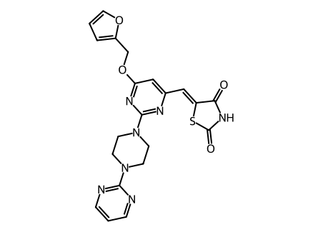 O=C1NC(=O)C(=Cc2cc(OCc3ccco3)nc(N3CCN(c4ncccn4)CC3)n2)S1